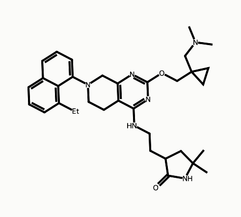 CCc1cccc2cccc(N3CCc4c(nc(OCC5(CN(C)C)CC5)nc4NCCC4CC(C)(C)NC4=O)C3)c12